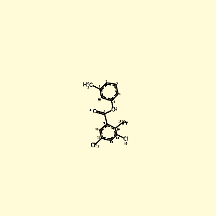 Cc1cccc(OC(=O)c2cc(Cl)cc(Cl)c2C(C)C)c1